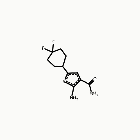 NC(=O)c1cc(C2CCC(F)(F)CC2)sc1N